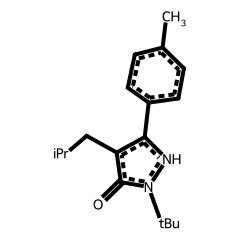 Cc1ccc(-c2[nH]n(C(C)(C)C)c(=O)c2CC(C)C)cc1